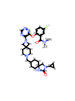 CCN(C(=O)c1cc(F)ccc1Oc1nncnc1N1CC2(CCN(CC3CCC4(CC3)CN(C3CC3)C(=O)N4)CC2)C1)C(C)C